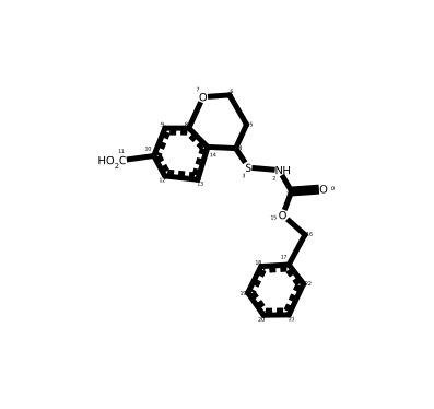 O=C(NSC1CCOc2cc(C(=O)O)ccc21)OCc1ccccc1